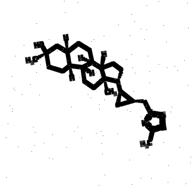 Cc1nnn(C[C@@H]2C[C@H]2[C@H]2CC[C@H]3[C@@H]4CC[C@@H]5C[C@](C)(O)CC[C@@H]5[C@H]4CC[C@]23C)n1